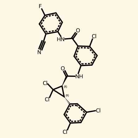 N#Cc1cc(F)ccc1NC(=O)c1cc(NC(=O)[C@H]2[C@H](c3cc(Cl)cc(Cl)c3)C2(Cl)Cl)ccc1Cl